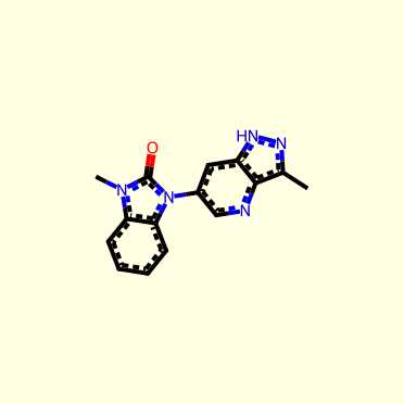 Cc1n[nH]c2cc(-n3c(=O)n(C)c4ccccc43)cnc12